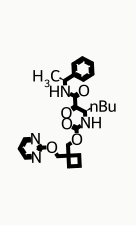 CCCC[C@H](NC(=O)OCC1(COc2ncccn2)CCC1)C(=O)C(=O)N[C@H](C)c1ccccc1